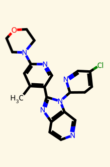 Cc1cc(N2CCOCC2)ncc1-c1nc2ccncc2n1C1CC=C(Cl)C=N1